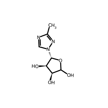 Cc1ncn([C@@H]2OC(O)[C@@H](O)[C@H]2O)n1